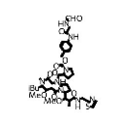 CCC(C)C(C(CC(=O)N1CCCC1C(OC)C(C)C(=O)NCc1nccs1)OC)N(C)C(=O)CNC(=O)C1CCCN1C(=O)OCc1ccc(NC(=O)CNC=O)cc1